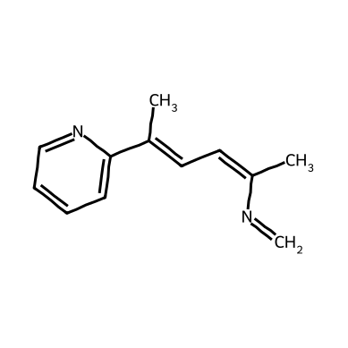 C=N/C(C)=C\C=C(/C)c1ccccn1